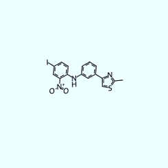 Cc1nc(-c2cccc(Nc3ccc(I)cc3[N+](=O)[O-])c2)cs1